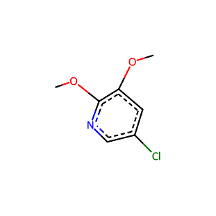 COc1cc(Cl)cnc1OC